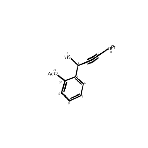 CCCC#CC(S)c1ccccc1OC(C)=O